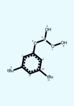 CC(C)(C)c1cc(OP(O)OO)cc(C(C)(C)C)c1